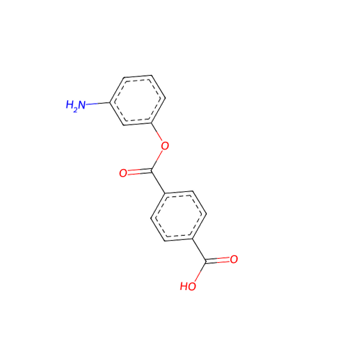 Nc1cccc(OC(=O)c2ccc(C(=O)O)cc2)c1